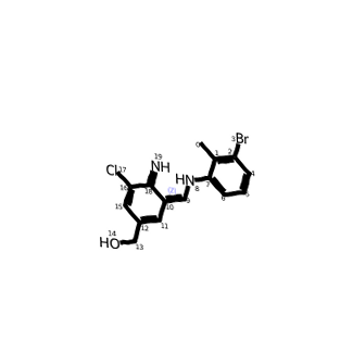 Cc1c(Br)cccc1N/C=C1/C=C(CO)C=C(Cl)C1=N